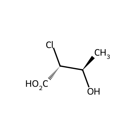 C[C@@H](O)[C@@H](Cl)C(=O)O